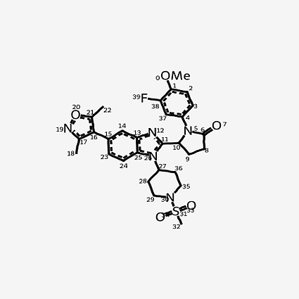 COc1ccc(N2C(=O)CCC2c2nc3cc(-c4c(C)noc4C)ccc3n2C2CCN(S(C)(=O)=O)CC2)cc1F